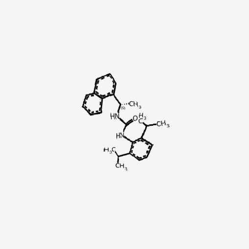 CC(C)c1cccc(C(C)C)c1NC(=O)N[C@@H](C)c1cccc2ccccc12